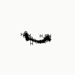 CC(=O)c1c(C)c2cnc(Nc3ccc(N4CCN(CCOCCOCCNC(=O)CNc5cccc6c5C(=O)N(C5CCC(=O)NC5=O)C6)CC4)cn3)nc2n(C2CCCC2)c1=O